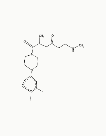 CNCCC(=O)CC(C)C(=O)N1CCN(c2ccc(F)c(F)c2)CC1